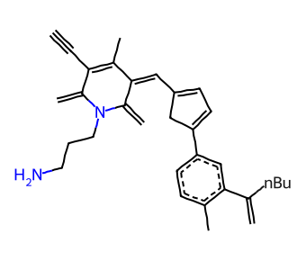 C#CC1=C(C)/C(=C/C2=CC=C(c3ccc(C)c(C(=C)CCCC)c3)C2)C(=C)N(CCCN)C1=C